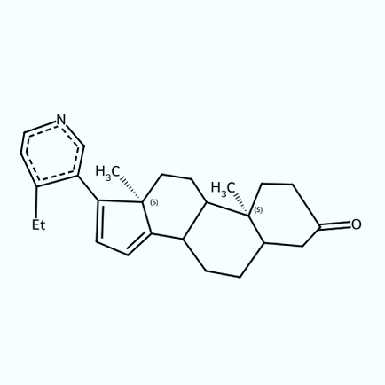 CCc1ccncc1C1=CC=C2C3CCC4CC(=O)CC[C@]4(C)C3CC[C@]12C